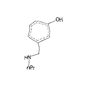 CCCNCc1cccc(O)c1